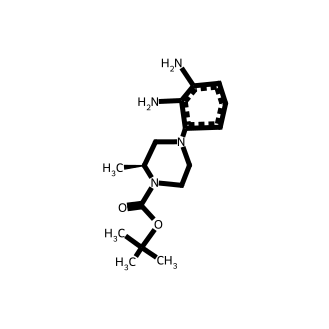 C[C@H]1CN(c2cccc(N)c2N)CCN1C(=O)OC(C)(C)C